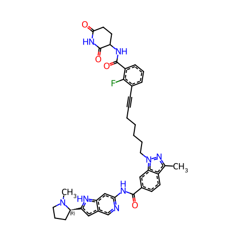 Cc1nn(CCCCCC#Cc2cccc(C(=O)NC3CCC(=O)NC3=O)c2F)c2cc(C(=O)Nc3cc4[nH]c([C@H]5CCCN5C)cc4cn3)ccc12